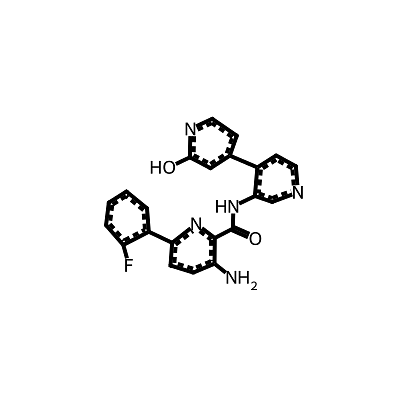 Nc1ccc(-c2ccccc2F)nc1C(=O)Nc1cnccc1-c1ccnc(O)c1